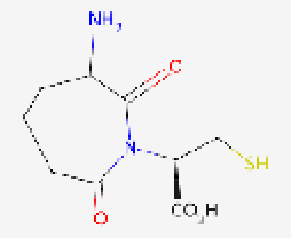 NC1CCCC(=O)N([C@@H](CS)C(=O)O)C1=O